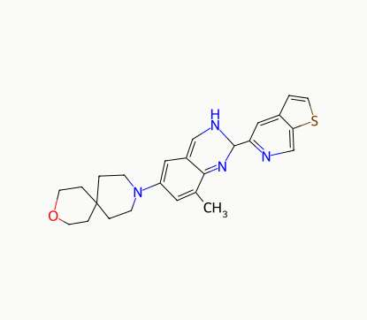 Cc1cc(N2CCC3(CCOCC3)CC2)cc2c1=NC(c1cc3ccsc3cn1)NC=2